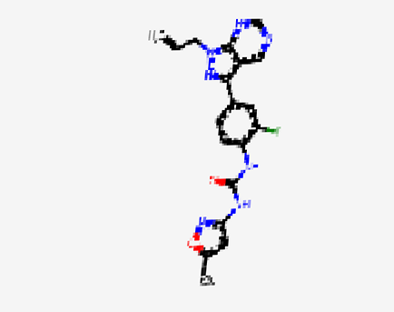 C=CCn1nc(-c2ccc(NC(=O)Nc3cc(C(C)(C)C)on3)c(F)c2)c2cncnc21